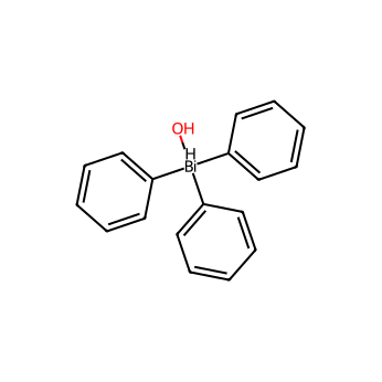 [OH][BiH]([c]1ccccc1)([c]1ccccc1)[c]1ccccc1